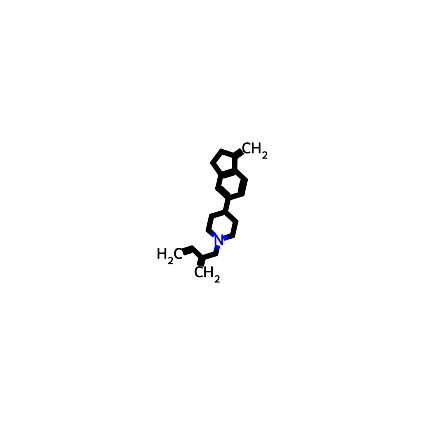 C=CC(=C)CN1CCC(c2ccc3c(c2)CCC3=C)CC1